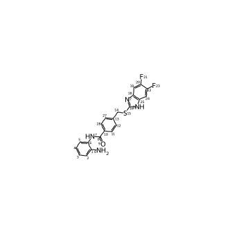 Nc1ccccc1NC(=O)c1ccc(CSc2nc3cc(F)c(F)cc3[nH]2)cc1